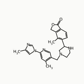 Cc1cn(-c2cc(C)c(CN3CCNC(c4ccc5c(c4C)COC5=O)C3)cn2)cn1